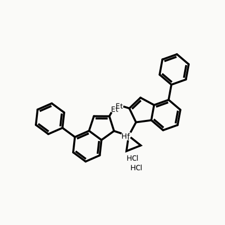 CCC1=Cc2c(-c3ccccc3)cccc2[CH]1[Hf]1([CH]2C(CC)=Cc3c(-c4ccccc4)cccc32)[CH2][CH2]1.Cl.Cl